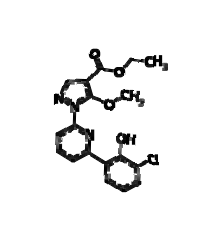 CCOC(=O)c1cnn(-c2cccc(-c3cccc(Cl)c3O)n2)c1OC